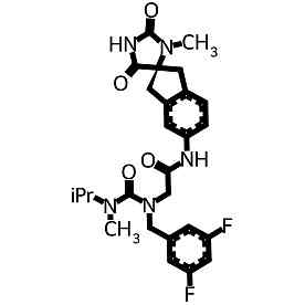 CC(C)N(C)C(=O)N(CC(=O)Nc1ccc2c(c1)C[C@@]1(C2)C(=O)NC(=O)N1C)Cc1cc(F)cc(F)c1